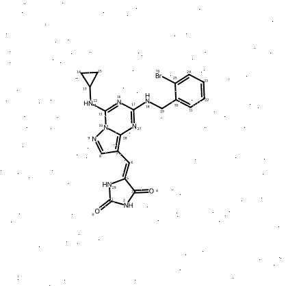 O=C1NC(=O)C(=Cc2cnn3c(NC4CC4)nc(NCc4ccccc4Br)nc23)N1